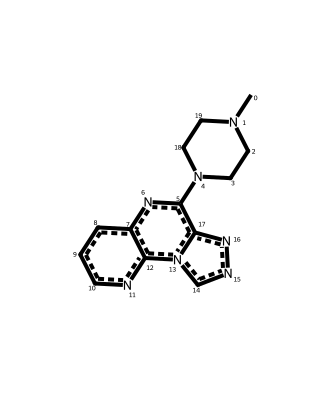 CN1CCN(c2nc3cccnc3n3cnnc23)CC1